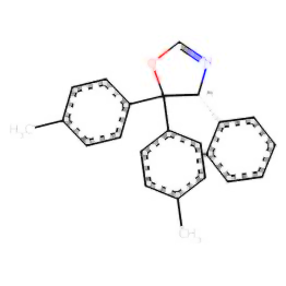 Cc1ccc(C2(c3ccc(C)cc3)OC=N[C@@H]2c2ccccc2)cc1